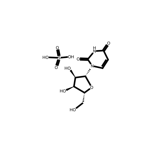 O=S(=O)(O)O.O=c1ccn([C@@H]2O[C@H](CO)[C@@H](O)[C@H]2O)c(=O)[nH]1